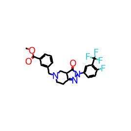 COC(=O)c1cccc(CN2CCC3=NN(c4ccc(F)c(C(F)(F)F)c4)C(=O)C3C2)c1